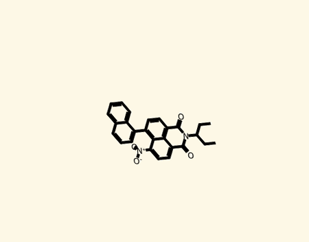 CCC(CC)N1C(=O)c2ccc(-c3cccc4ccccc34)c3c([N+](=O)[O-])ccc(c23)C1=O